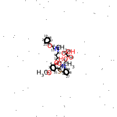 COc1ccc(OCCCCN(C)CCOc2ccccc2)c(C2Sc3ccccc3N(C)C2=O)c1.O=C(O)C(=O)O